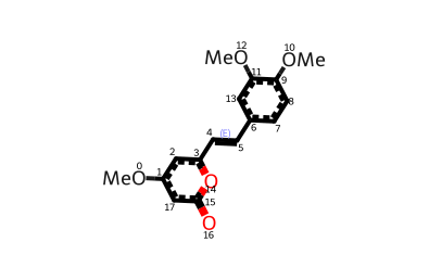 COc1cc(/C=C/c2ccc(OC)c(OC)c2)oc(=O)c1